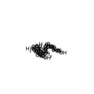 CC(C)(Oc1ccc(OC(C)(C)C(=O)c2cccc(C(=O)C(C)(C)Oc3ccc(NC(=O)c4ccc5cc(O)ccc5c4)cc3)c2)cc1)C(=O)c1ccc(OC(C)(C)C(=O)c2ccc3cc(OC(=O)c4ccc5cc(O)ccc5c4)ccc3c2)cc1